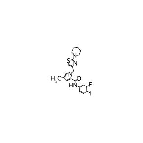 Cc1cc(C(=O)Nc2ccc(I)c(F)c2)n(Cc2csc(N3CCCCC3)n2)c1